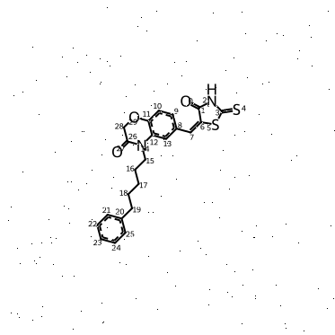 O=C1NC(=S)S/C1=C/c1ccc2c(c1)N(CCCCCc1ccccc1)C(=O)CO2